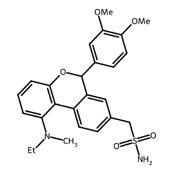 CCN(C)c1cccc2c1-c1ccc(CS(N)(=O)=O)cc1C(c1ccc(OC)c(OC)c1)O2